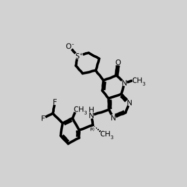 Cc1c(C(F)F)cccc1[C@@H](C)Nc1ncnc2c1cc(C1CC[S+]([O-])CC1)c(=O)n2C